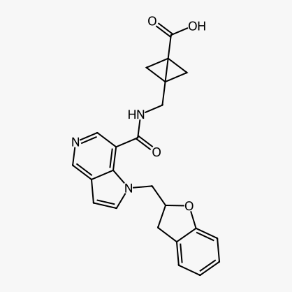 O=C(NCC12CC1(C(=O)O)C2)c1cncc2ccn(CC3Cc4ccccc4O3)c12